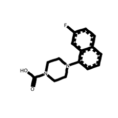 O=C(O)N1CCN(c2cccc3ccc(F)cc23)CC1